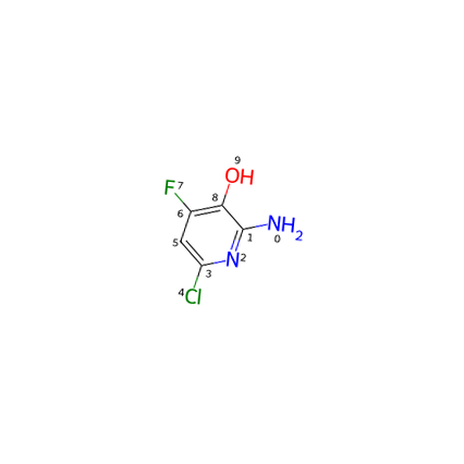 Nc1nc(Cl)cc(F)c1O